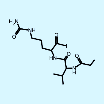 CCC(=O)NC(C(=O)NC(CCCNC(N)=O)C(=O)I)C(C)C